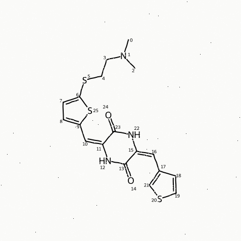 CN(C)CCSc1ccc(C=c2[nH]c(=O)c(=Cc3ccsc3)[nH]c2=O)s1